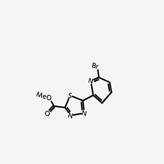 COC(=O)c1nnc(-c2cccc(Br)n2)s1